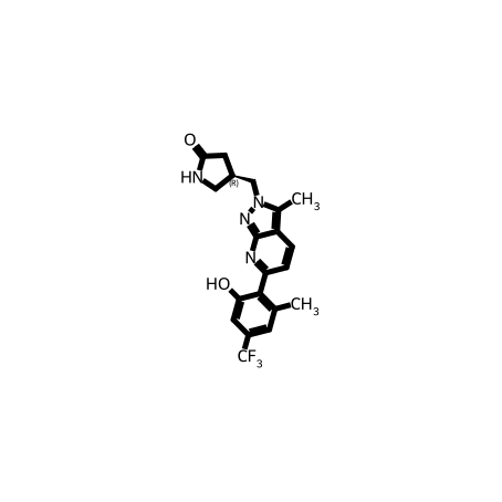 Cc1cc(C(F)(F)F)cc(O)c1-c1ccc2c(C)n(C[C@H]3CNC(=O)C3)nc2n1